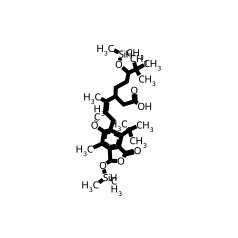 COc1c(C)c2c(c(C(C)(C)C)c1CC=C(C)C(CCC(O[SiH](C)C)C(C)(C)C)CC(=O)O)C(=O)OC2O[SiH](C)C